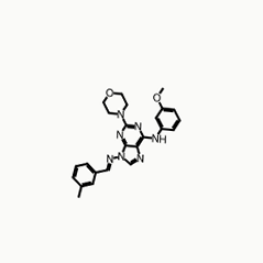 COc1cccc(Nc2nc(N3CCOCC3)nc3c2ncn3N=Cc2cccc(C)c2)c1